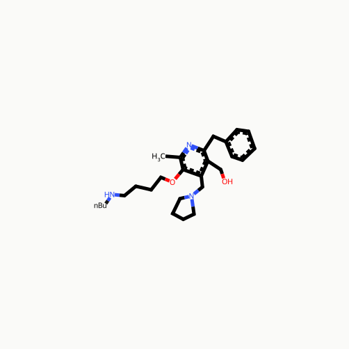 CCCCNCCCCOc1c(C)nc(Cc2ccccc2)c(CO)c1CN1CCCC1